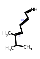 C/C(=C\C=C\C=N)C(C)C